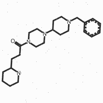 O=C(CCC1CCCC[N]1)N1CCN(C2CCN(Cc3ccccc3)CC2)CC1